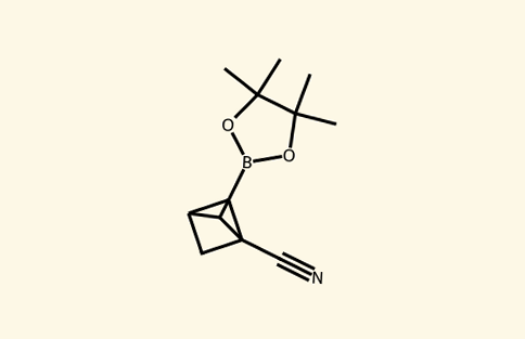 CC1(C)OB(C2C3CC2(C#N)C3)OC1(C)C